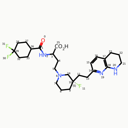 O=C(NC(CCN1CCC[C@](F)(CCc2ccc3c(n2)NCCC3)C1)C(=O)O)C1CCC(F)(F)CC1